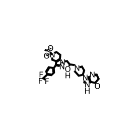 CS(=O)(=O)N1CCc2c(c(-c3ccc(C(F)(F)F)cc3)nn2CC(O)CN2CCC(N3CNC4=C3N=CCC4=O)CC2)C1